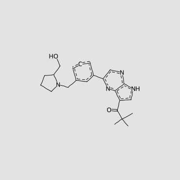 CC(C)(C)C(=O)c1c[nH]c2ncc(-c3cccc(CN4CCCC4CO)c3)nc12